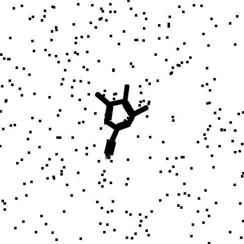 Cc1cc(C#N)nc(C)c1C